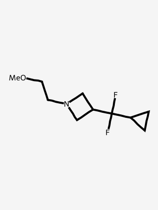 COCCN1CC(C(F)(F)C2CC2)C1